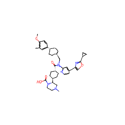 COc1ccc([C@H]2CC[C@H](CN(c3cc(-c4coc(C5CC5)n4)ccn3)C(=O)[C@H]3CC[C@H](C4CN(C)CCN4C(=O)O)CC3)CC2)cc1C